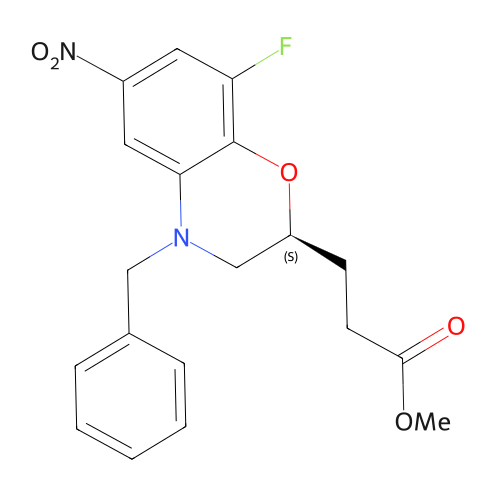 COC(=O)CC[C@H]1CN(Cc2ccccc2)c2cc([N+](=O)[O-])cc(F)c2O1